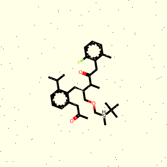 CC(=O)Cc1cccc(C(C)C)c1C[C@H](COC[SiH](C)C(C)(C)C)C(C)C(=O)Cc1c(C)cccc1F